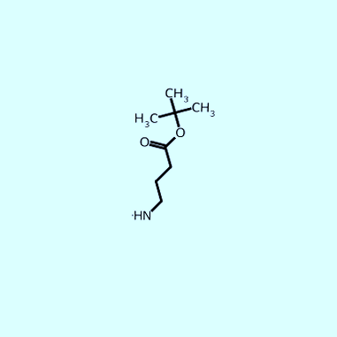 CC(C)(C)OC(=O)CCC[NH]